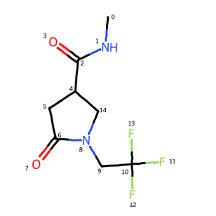 CNC(=O)C1CC(=O)N(CC(F)(F)F)C1